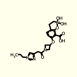 CCCn1cnc(CC(=O)N2CC(Oc3ccc4c(c3C(=O)O)O[B-](O)(O)CC4)C2)c1